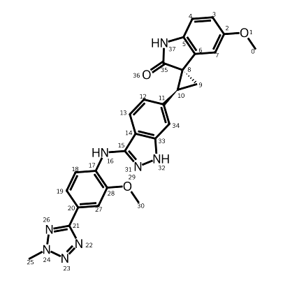 COc1ccc2c(c1)[C@]1(C[C@H]1c1ccc3c(Nc4ccc(-c5nnn(C)n5)cc4OC)n[nH]c3c1)C(=O)N2